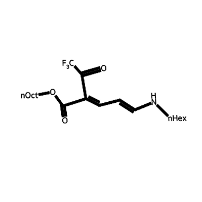 CCCCCCCCOC(=O)/C(=C/C=C/NCCCCCC)C(=O)C(F)(F)F